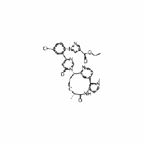 CCOC(=O)c1cnn(-c2ccc(Cl)cc2-c2cc(=O)n([C@H]3CCC[C@@H](C)C(=O)Nc4ccn(C)c4-c4ccnc3c4)cn2)c1